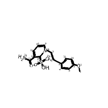 COc1ccc(CCN2C=CC=C(C(N)=O)C2S(=O)(=O)O)cc1